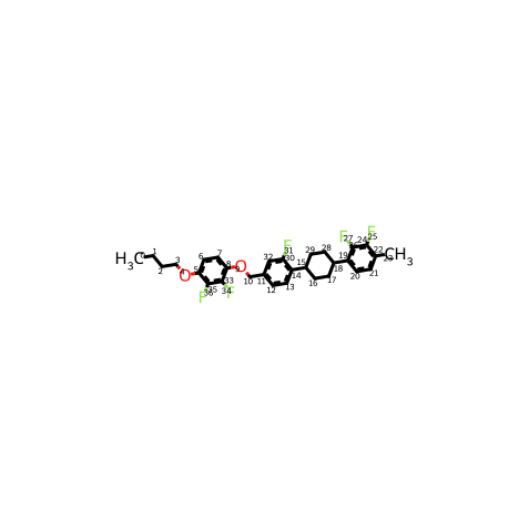 CCCCOc1ccc(OCc2ccc(C3CCC(c4ccc(C)c(F)c4F)CC3)c(F)c2)c(F)c1F